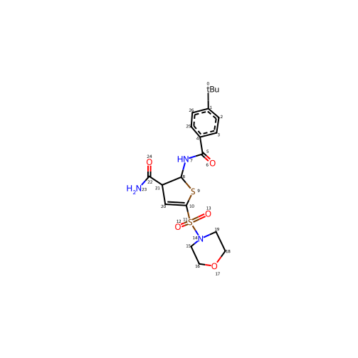 CC(C)(C)c1ccc(C(=O)NC2SC(S(=O)(=O)N3CCOCC3)=CC2C(N)=O)cc1